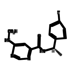 C[C@H](NC(=O)c1cc(NC(=O)O)ncn1)c1ccc(F)cc1